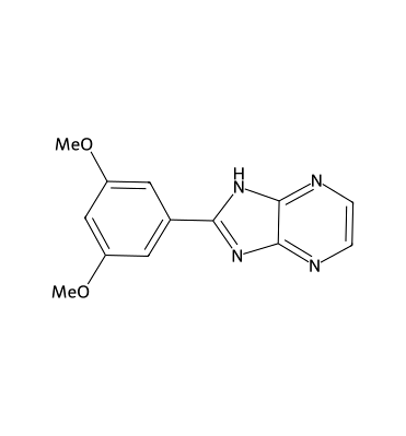 COc1cc(OC)cc(-c2nc3nccnc3[nH]2)c1